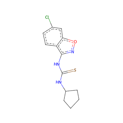 S=C(Nc1noc2cc(Cl)ccc12)NC1CCCC1